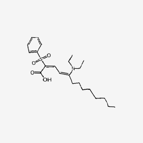 CCCCCCCCC(=CC=C(C(=O)O)S(=O)(=O)c1ccccc1)N(CC)CC